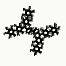 Fc1c(F)c(F)c(-c2c(F)c(F)c(N(c3c(F)c(F)c(-c4c(F)c(F)c(F)c(F)c4F)c(F)c3F)C3NC(C4=CSC(N(c5c(F)c(F)c(-c6c(F)c(F)c(F)c(F)c6F)c(F)c5F)c5c(F)c(F)c(-c6c(F)c(F)c(F)c(F)c6F)c(F)c5F)N4)=CS3)c(F)c2F)c(F)c1F